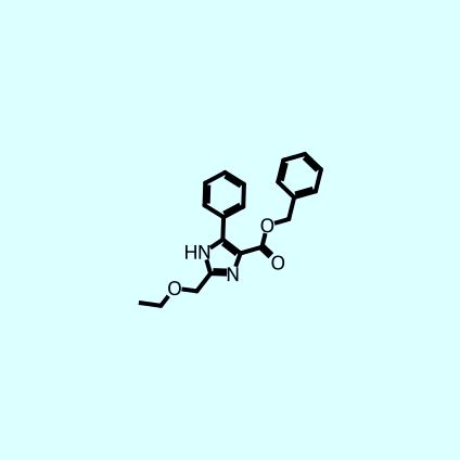 CCOCc1nc(C(=O)OCc2ccccc2)c(-c2ccccc2)[nH]1